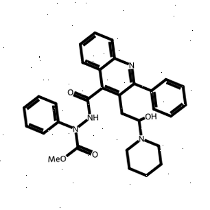 COC(=O)N(NC(=O)c1c(CC(O)N2CCCCC2)c(-c2ccccc2)nc2ccccc12)c1ccccc1